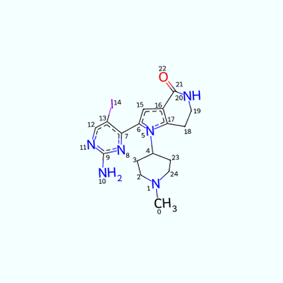 CN1CCC(n2c(-c3nc(N)ncc3I)cc3c2CCNC3=O)CC1